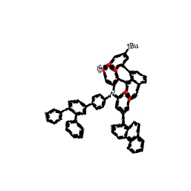 CC(C)(C)c1cc(-c2cccc3cccc(-c4ccccc4N(c4ccc(-c5ccc(-c6ccccc6)c(-c6ccccc6)c5)cc4)c4cccc(-c5cccc6c5ccc5ccccc56)c4)c23)cc(C(C)(C)C)c1